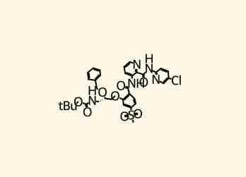 CC(C)(C)OC(=O)NC[C@@H](COc1cc(S(C)(=O)=O)ccc1C(=O)Nc1cccnc1C(=O)Nc1ccc(Cl)cn1)OCc1ccccc1